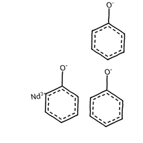 [Nd+3].[O-]c1ccccc1.[O-]c1ccccc1.[O-]c1ccccc1